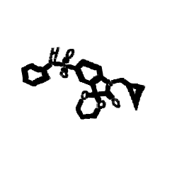 O=C1N(CC2CC2)c2ccc(S(=O)(=O)Nc3ccccc3)cc2C12OCCCO2